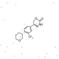 O=C1NN=C(c2ccc([C@H]3CCCOC3)c(C(F)(F)F)c2)CO1